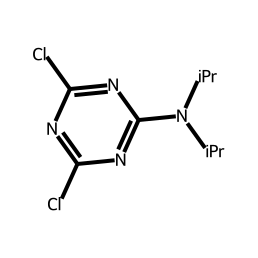 CC(C)N(c1nc(Cl)nc(Cl)n1)C(C)C